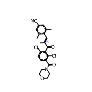 C/C(=C\c1c(C)cc(C#N)cc1C)C(=O)c1c(Cl)ccc(C(=O)N2CCOCC2)c1Cl